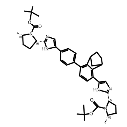 C[C@H]1CC[C@@H](c2ncc(-c3ccc(-c4ccc(-c5cnc([C@@H]6CC[C@H](C)N6C(=O)OC(C)(C)C)[nH]5)c5c4C4CCC5C4)cc3)[nH]2)N1C(=O)OC(C)(C)C